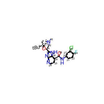 CN(C)CC(O[Si](C)(C)C(C)(C)C)c1nc2nccc(C(=O)Nc3ccc(F)c(Cl)c3)c2[nH]1